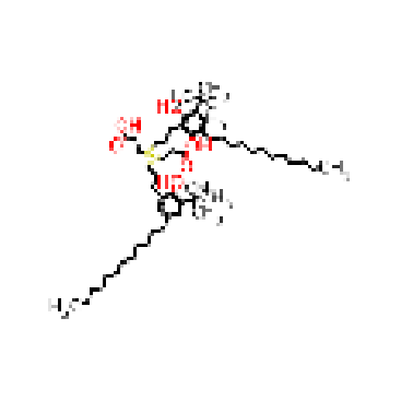 CCCCCCCCCCCCc1cc(CCCS(CCCc2cc(CCCCCCCCCCCC)cc(C(C)(C)C)c2O)(CCC(=O)O)CCC(=O)O)c(O)c(C(C)(C)C)c1